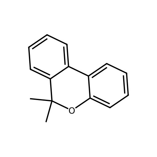 CC1(C)Oc2ccccc2-c2ccccc21